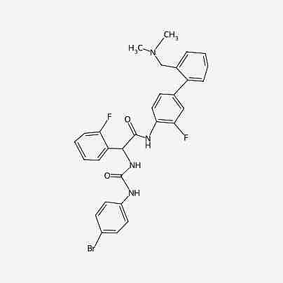 CN(C)Cc1ccccc1-c1ccc(NC(=O)C(NC(=O)Nc2ccc(Br)cc2)c2ccccc2F)c(F)c1